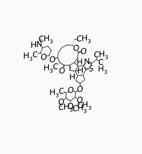 CC[C@H]1CCC[C@H](O[C@H]2CC[C@H](NC)C(C)O2)[C@@H](C)C(=O)C2=C[C@@H]3C(c4nc(C(C)C)sc4C4C[C@@H](O[C@@H]5O[C@H](C)[C@H](OC)C(OC)C5OC)C[C@H]43)[C@@H]2CC(=O)O1